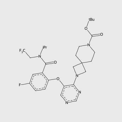 CC(C)N(CC(F)(F)F)C(=O)c1cc(F)ccc1Oc1cncnc1N1CC2(CCN(C(=O)OC(C)(C)C)CC2)C1